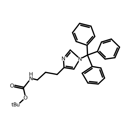 CC(C)(C)OC(=O)NCCCc1cn(C(c2ccccc2)(c2ccccc2)c2ccccc2)cn1